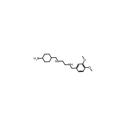 COc1ccc(CNCCNCC2CCC(N)CC2)cc1OC